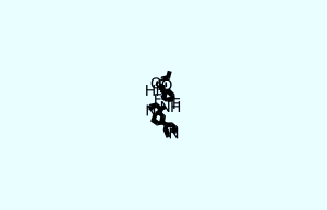 CCCS(=O)(=O)Nc1ccc(F)c(Nc2ccnc3ccc(-c4ccncc4)cc23)c1F